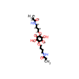 C=CC(=O)NCCCCOC1=C(O)C(=O)C(OCCCCNC(=O)C=C)=C(O)C1=O